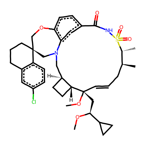 CO[C@@H](C[C@]1(OC)/C=C/C[C@H](C)[C@@H](C)S(=O)(=O)NC(=O)c2ccc3c(c2)N(C[C@@H]2CC[C@H]21)C[C@@]1(CCCc2cc(Cl)ccc21)CO3)C1CC1